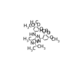 COc1ccc(-c2nc(Nc3cc(OC)c(OC)c(OC)c3)c3c(C)nc(C(C)C)n3n2)cc1OC